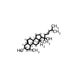 CC(C)CCCC(C)(O)C1CCC2C3CC=C4C[C@@H](O)C[C@@H](C)C4C3CC[C@@]21C